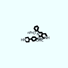 CCCOc1ccccc1-c1cc2c(c(Nc3ccc(C4CCNCC4)cc3)n1)C(C=O)NC=C2